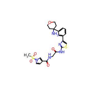 CS(=O)(=O)n1ccc(C(=O)NCC(=O)Nc2nc(-c3cccc(C4(N)CCOCC4)c3)cs2)c1